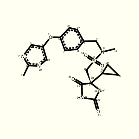 Cc1ncc(Oc2ccc(CN(C)S(=O)(=O)C[C@@]3(C4CC4)NC(=O)NC3=O)cc2)cn1